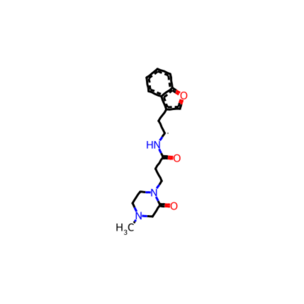 CN1CCN(CCC(=O)N[CH]Cc2coc3ccccc23)C(=O)C1